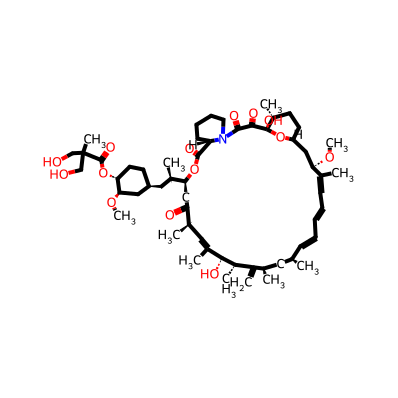 C=C1[C@H](C)C[C@H](C)/C=C/C=C/C=C(\C)[C@@H](OC)C[C@@H]2CC[C@@H](C)[C@@](O)(O2)C(=O)C(=O)N2CCCC[C@H]2C(=O)O[C@H]([C@H](C)C[C@@H]2CC[C@@H](OC(=O)C(C)(CO)CO)[C@H](OC)C2)CC(=O)[C@H](C)/C=C(\C)[C@@H](O)[C@H]1C